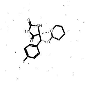 C[C@@]1([C@H](O[C@@H]2CCCCO2)c2ccc(I)cc2)NC(=O)NC1=O